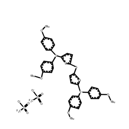 CC(C)(C)Oc1ccc([S+](c2ccc(OC(C)(C)C)cc2)c2ccc(Sc3ccc([S+](c4ccc(OC(C)(C)C)cc4)c4ccc(OC(C)(C)C)cc4)s3)s2)cc1.O=S(=O)([O-])C(F)(F)F.O=S(=O)([O-])C(F)(F)F